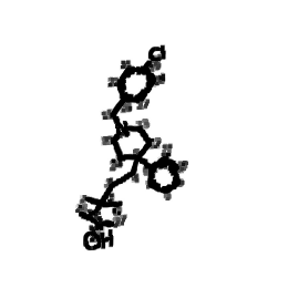 CC(C)(CCC1(c2ccccc2)CCN(Cc2ccc(Cl)cc2)CC1)[Si](C)(C)O